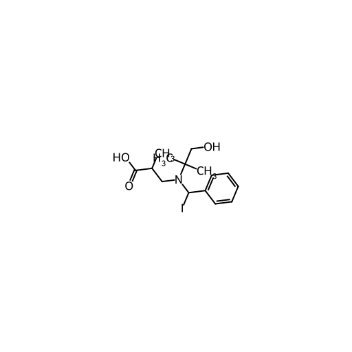 CC(CN(C(I)c1ccccc1)C(C)(C)CO)C(=O)O